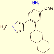 COc1cc(C2CCC3CCCCC3C2)c(-c2ccn(C)c2)cc1N